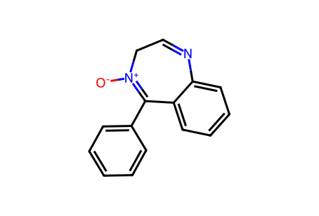 [O-][N+]1=C(c2ccccc2)c2ccccc2N=CC1